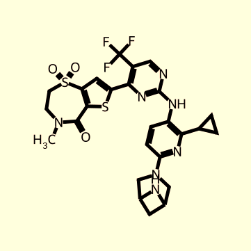 CN1CCS(=O)(=O)c2cc(-c3nc(Nc4ccc(N5CC6CC(C5)N6)nc4C4CC4)ncc3C(F)(F)F)sc2C1=O